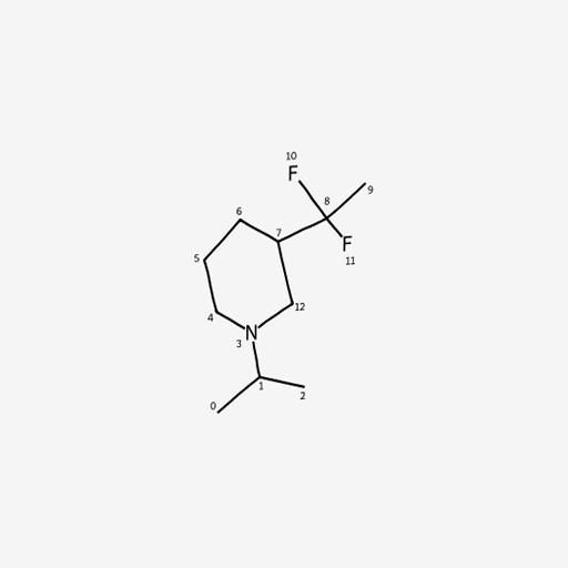 CC(C)N1CCCC(C(C)(F)F)C1